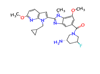 COc1ccc2cc(-c3nc4cc(C(=O)N5C[C@@H](N)C[C@H](F)C5)cc(OC)c4n3C)n(CC3CC3)c2n1